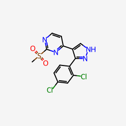 CS(=O)(=O)c1nccc(-c2c[nH]nc2-c2ccc(Cl)cc2Cl)n1